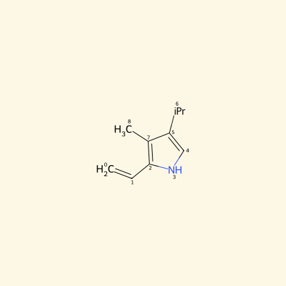 C=Cc1[nH]cc(C(C)C)c1C